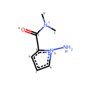 CN(C)C(=O)c1cccn1N